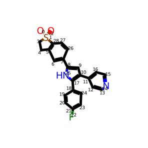 O=S1(=O)CCc2cc(-c3cc(-c4ccncc4)c(-c4ccc(F)cc4)[nH]3)ccc21